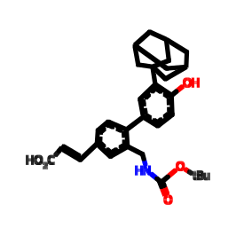 CC(C)(C)OC(=O)NCc1cc(C=CC(=O)O)ccc1-c1ccc(O)c(C23CC4CC(CC(C4)C2)C3)c1